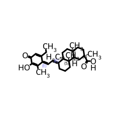 CCC1=CC(=O)C(O)=C(C)/C1=C/C=C1\CCC[C@@]2(C)[C@@H]3C[C@](C)(C(=O)O)CC[C@]3(C)CC[C@]12C